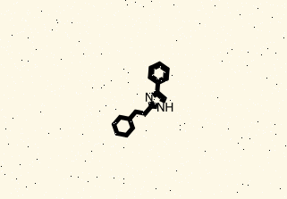 [CH](CC1CCCCC1)c1nc(-c2ccccc2)c[nH]1